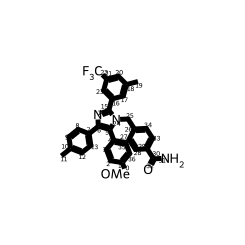 COc1ccc(-c2c(-c3ccc(C)cc3)nc(-c3cc(C)cc(C(F)(F)F)c3)n2Cc2ccc(C(N)=O)cc2)cc1